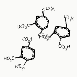 O=C(O)c1ccc(C(=O)O)c(C(=O)O)c1.O=C(O)c1ccc(C(=O)O)c(C(=O)O)c1.O=C(O)c1ccc(C(=O)O)c(C(=O)O)c1